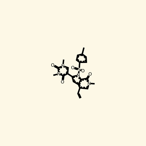 C=Cc1cn(C)c(=O)c2c1cc(-c1cn(C)c(=O)n(C)c1=O)n2S(=O)(=O)c1ccc(C)cc1